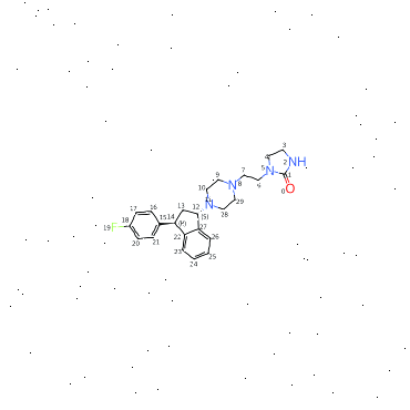 O=C1NCCN1CCN1CCN([C@H]2C[C@H](c3ccc(F)cc3)c3ccccc32)CC1